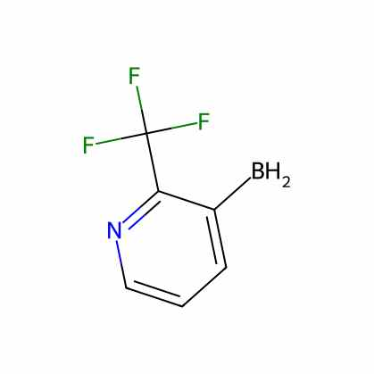 Bc1cccnc1C(F)(F)F